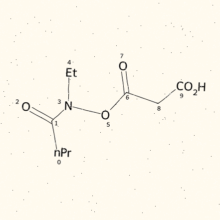 CCCC(=O)N(CC)OC(=O)CC(=O)O